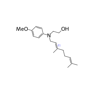 COc1ccc(N(C/C=C(\C)CCC=C(C)C)CCO)cc1